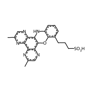 Cc1cnc2c3c(c4ncc(C)nc4c2n1)Oc1c(CCCS(=O)(=O)O)cccc1N3